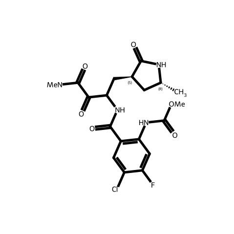 CNC(=O)C(=O)C(C[C@@H]1C[C@@H](C)NC1=O)NC(=O)c1cc(Cl)c(F)cc1NC(=O)OC